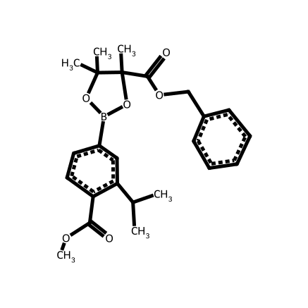 COC(=O)c1ccc(B2OC(C)(C)C(C)(C(=O)OCc3ccccc3)O2)cc1C(C)C